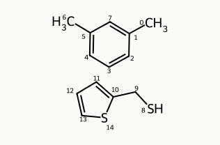 Cc1cccc(C)c1.SCc1cccs1